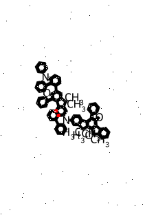 CC1(C)c2cc(N(c3ccc4c(c3)C(C)(C)c3c5c(c6oc7ccccc7c6c3-4)-c3ccccc3C5(C)C)c3ccccc3-c3ccccc3)ccc2-c2c1cc(-c1cccc3c1c1ccccc1n3-c1ccccc1)c1oc3ccccc3c21